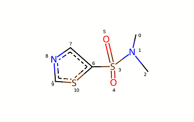 CN(C)S(=O)(=O)c1cn[c]s1